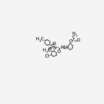 Cc1ccc(S(=O)(=O)N(CC(=O)NCc2cccc(O[C@@H](C)C=O)c2)c2cccc(Cl)c2C)cc1